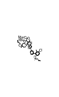 C=CCOC1(C)CCN(c2c(C(OC(C)(C)C)C(=O)OC)c(C)nc3cc(-c4cccc(-c5c(O[C@@H](C)CC=C)ccc(Cl)c5C)c4)nn23)CC1